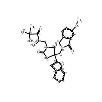 COc1ccc2c(c1)C(=O)N(C[C@@]1(c3cc4cnccc4o3)NC(=O)N(CN(C)C(=O)C(C)(C)C)C1=O)C2